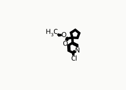 CCOC(=O)C1(c2ccc(Cl)nc2)CCCC1